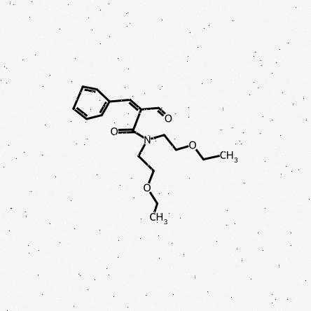 CCOCCN(CCOCC)C(=O)C([C]=O)=Cc1ccccc1